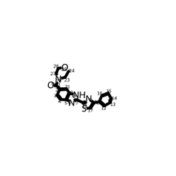 O=C(c1ccc2nc(-c3nc(-c4ccccc4)cs3)[nH]c2c1)N1CCOCC1